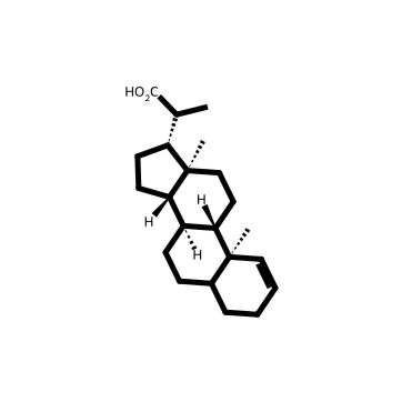 CC(C(=O)O)[C@H]1CC[C@H]2[C@@H]3CCC4CCC=C[C@]4(C)[C@H]3CC[C@]12C